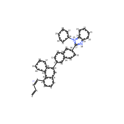 C=C/C=C\c1cccc2cc(-c3ccc4cc(-c5nc6ccccc6n5-c5ccccc5)ccc4c3)c3ccccc3c12